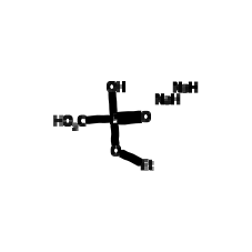 CCOP(=O)(O)C(=O)O.[NaH].[NaH]